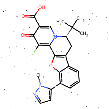 Cn1nccc1-c1cccc2c3c(oc12)-c1c(F)c(=O)c(C(=O)O)cn1[C@H](C(C)(C)C)C3